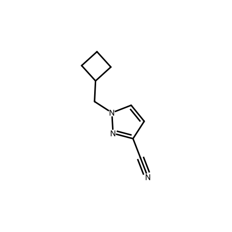 N#Cc1ccn(CC2CCC2)n1